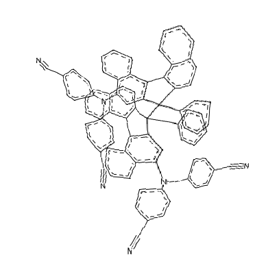 N#Cc1ccc(N(c2ccc(C#N)cc2)c2cc3c(c4ccccc24)-c2c(ccc4ccccc24)C3(c2ccccc2)C2(c3ccccc3)c3ccc4ccccc4c3-c3c2cc(N(c2ccc(C#N)cc2)c2ccc(C#N)cc2)c2ccccc32)cc1